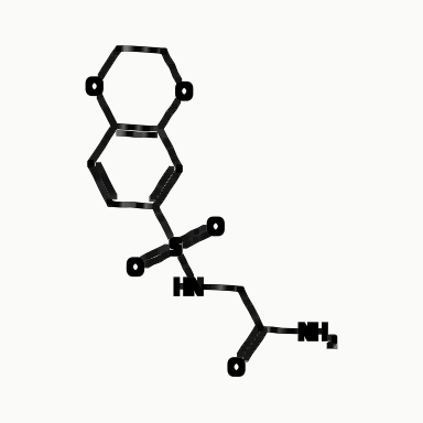 NC(=O)CNS(=O)(=O)c1ccc2c(c1)OCCO2